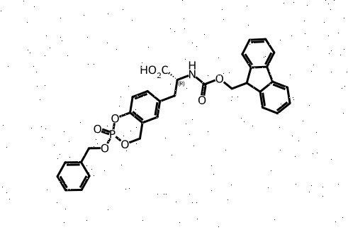 O=C(N[C@H](Cc1ccc2c(c1)COP(=O)(OCc1ccccc1)O2)C(=O)O)OCC1c2ccccc2-c2ccccc21